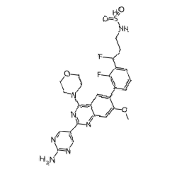 COc1cc2nc(-c3cnc(N)nc3)nc(N3CCOCC3)c2cc1-c1cccc(C(F)CCN[SH](=O)=O)c1F